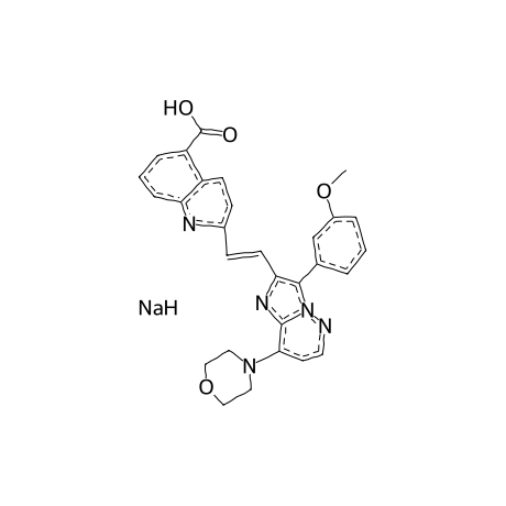 COc1cccc(-c2c(/C=C/c3ccc4c(C(=O)O)cccc4n3)nc3c(N4CCOCC4)ccnn23)c1.[NaH]